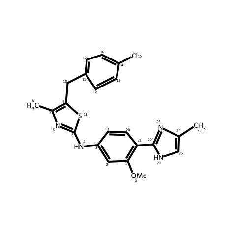 COc1cc(Nc2nc(C)c(Cc3ccc(Cl)cc3)s2)ccc1-c1nc(C)c[nH]1